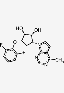 Cc1ncnc2c1ccn2[C@@H]1C[C@H](Oc2c(F)cccc2F)[C@@H](O)[C@H]1O